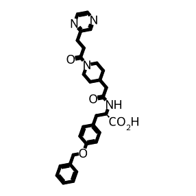 O=C(CC1CCN(C(=O)CCc2cnccn2)CC1)N[C@@H](Cc1ccc(OCc2ccccc2)cc1)C(=O)O